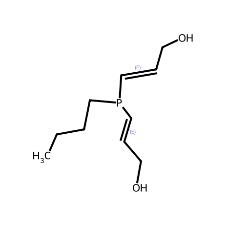 CCCCP(/C=C/CO)/C=C/CO